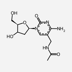 CC(=O)NCc1cn([C@H]2CC(O)[C@@H](CO)O2)c(=O)nc1N